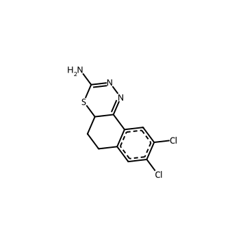 NC1=NN=C2c3cc(Cl)c(Cl)cc3CCC2S1